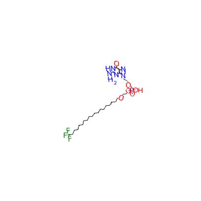 Nc1nc2c(ncn2CCOCP(=O)(O)OCCOCCCCCCCCCCCCCCCCCCC(F)(F)F)c(=O)[nH]1